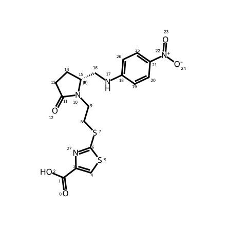 O=C(O)c1csc(SCCN2C(=O)CC[C@@H]2CNc2ccc([N+](=O)[O-])cc2)n1